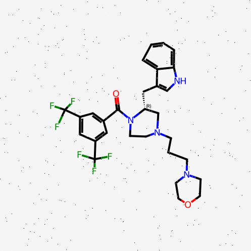 O=C(c1cc(C(F)(F)F)cc(C(F)(F)F)c1)N1CCN(CCCN2CCOCC2)C[C@H]1Cc1c[nH]c2ccccc12